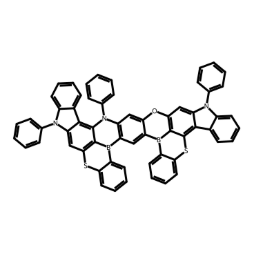 c1ccc(N2c3cc4c(cc3B3c5ccccc5Sc5cc6c(c2c53)c2ccccc2n6-c2ccccc2)B2c3ccccc3Sc3c2c(cc2c3c3ccccc3n2-c2ccccc2)O4)cc1